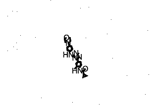 Cc1cc(-c2ncnc(Nc3ccc(N4CCOCC4)cc3)n2)ccc1NC(=O)C1CC1